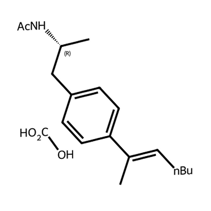 CCCCC=C(C)c1ccc(C[C@@H](C)NC(C)=O)cc1.O=C(O)O